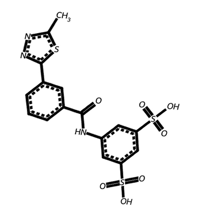 Cc1nnc(-c2cccc(C(=O)Nc3cc(S(=O)(=O)O)cc(S(=O)(=O)O)c3)c2)s1